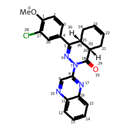 COc1ccc(C2=NN(c3cnc4ccccc4n3)C(=O)[C@H]3CC=CC[C@@H]23)cc1Cl